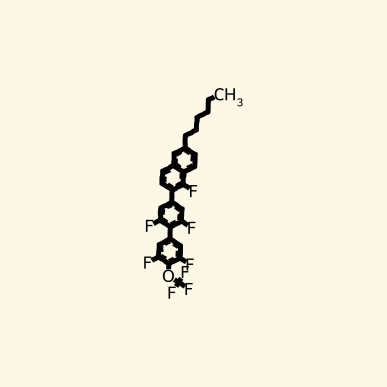 CCCCCCc1ccc2c(F)c(-c3cc(F)c(-c4cc(F)c(OC(F)(F)F)c(F)c4)c(F)c3)ccc2c1